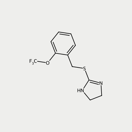 FC(F)(F)Oc1ccccc1CSC1=NCCN1